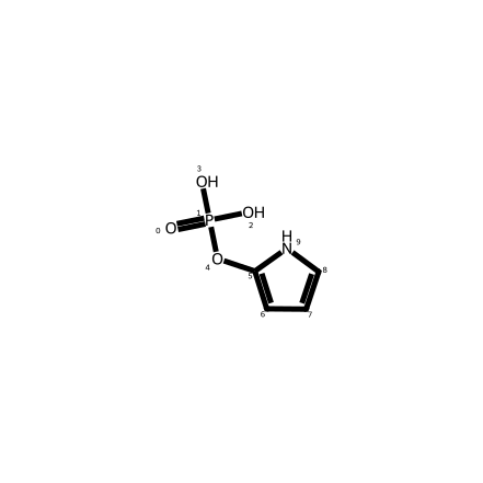 O=P(O)(O)Oc1ccc[nH]1